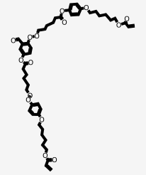 C=CC(=O)OCCCCCCOc1ccc(OOCCCCCC(=O)Oc2ccc(OOCCCCCC(=O)Oc3ccc(OCCCCCCOC(=O)C=C)cc3)c(C=O)c2)cc1